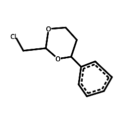 ClCC1OCCC(c2ccccc2)O1